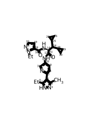 CCc1[nH]nc(C)c1-c1ccc(NC(=O)[C@@H](NC(=O)c2ccnn2CC)C(C2CC2)C2CC2)cn1